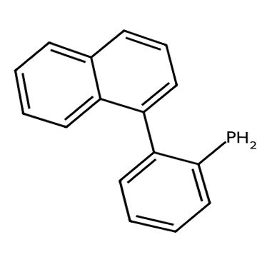 Pc1ccccc1-c1cccc2ccccc12